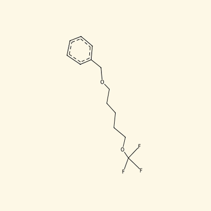 FC(F)(F)OCCCCCOCc1ccccc1